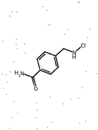 NC(=O)c1ccc(CNCl)cc1